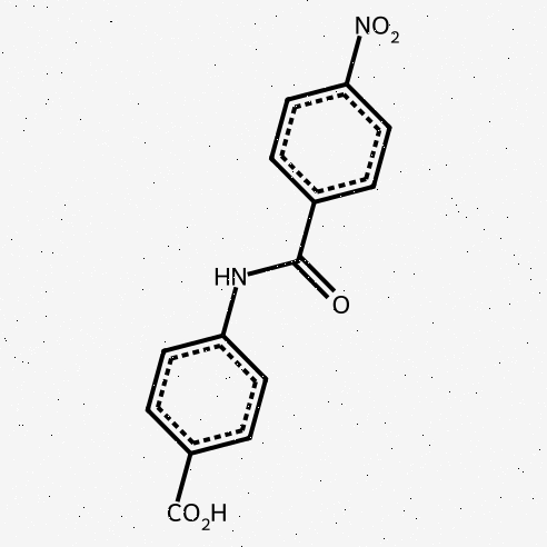 O=C(O)c1ccc(NC(=O)c2ccc([N+](=O)[O-])cc2)cc1